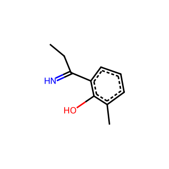 CCC(=N)c1cccc(C)c1O